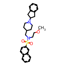 COCCN(CC1CCN(C2Cc3ccccc3C2)CC1)S(=O)(=O)c1ccc2ccccc2c1